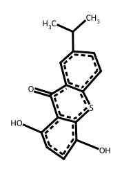 CC(C)c1ccc2sc3c(O)ccc(O)c3c(=O)c2c1